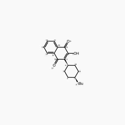 CC(C)(C)[C@H]1CC[C@@H](C2=C(O)C(=O)c3ccccc3C2=O)CC1